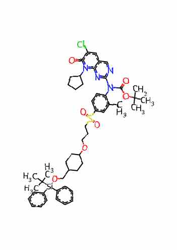 Cc1cc(S(=O)(=O)CCCOC2CCC(CO[Si](c3ccccc3)(c3ccccc3)C(C)(C)C)CC2)ccc1N(C(=O)OC(C)(C)C)c1ncc2cc(Cl)c(=O)n(C3CCCC3)c2n1